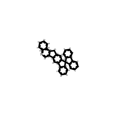 c1ccc2c(c1)-c1ccccc1C21c2ccccc2-c2cc3c(cc21)Cc1c-3cnc2ccccc12